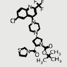 CC(C)(C)OC(=O)N1C[C@@H](N2CCN(c3cc(C(F)(F)F)nc4ccc(Cl)cc34)CC2)C[C@H]1C(=O)N1CCSC1